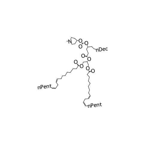 CCCCC/C=C\C/C=C\CCCCCCCC(=O)OCC(COC(=O)CCCCCCC/C=C\C/C=C\CCCCC)OC(=O)CCC(CCCCCCCCCCCC)OC(=O)OC1CCN(C)CC1